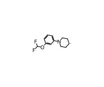 FC(F)Oc1cccc(N2CC[CH]CC2)c1